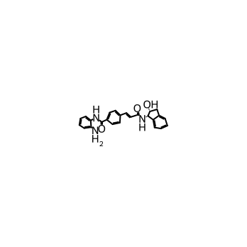 Nc1ccccc1NC(=O)c1ccc(C=CC(=O)N[C@H]2c3ccccc3C[C@H]2O)cc1